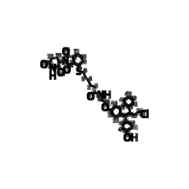 O=C(CCCCCSc1cccc2c1C(=O)N(C1CCC(=O)NC1=O)C2=O)NCCOc1ccc(C(=C(CCCl)c2ccccc2)c2ccc(O)cc2)cc1